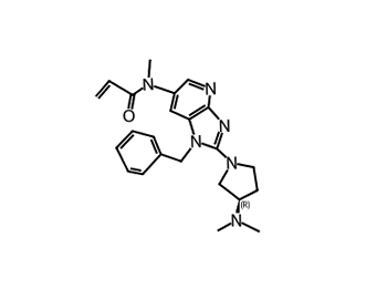 C=CC(=O)N(C)c1cnc2nc(N3CC[C@@H](N(C)C)C3)n(Cc3ccccc3)c2c1